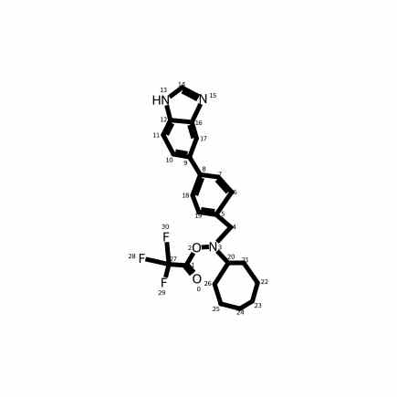 O=C(ON(Cc1ccc(-c2ccc3[nH]cnc3c2)cc1)C1CCCCCC1)C(F)(F)F